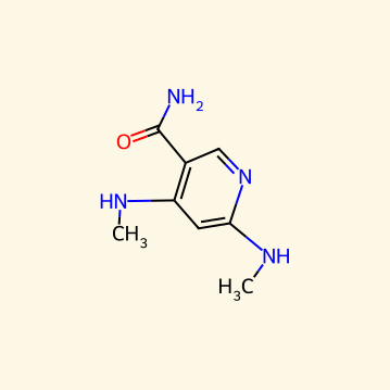 CNc1cc(NC)c(C(N)=O)cn1